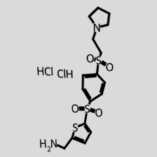 Cl.Cl.NCc1ccc(S(=O)(=O)c2ccc(S(=O)(=O)CCN3CCCC3)cc2)s1